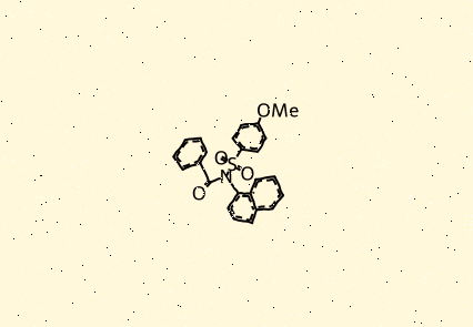 COc1ccc(S(=O)(=O)N(C(=O)c2ccccc2)c2cccc3ccccc23)cc1